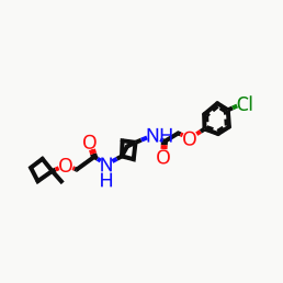 CC1(OCC(=O)NC23CC(NC(=O)COc4ccc(Cl)cc4)(C2)C3)CCC1